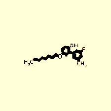 CCCCCCCCOc1ccc(O)c(-c2cc(C)cc(F)c2)c1